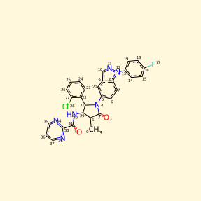 CC1C(=O)N(c2ccc3c(cnn3-c3ccc(F)cc3)c2)C(c2ccccc2Cl)C1NC(=O)c1ncccn1